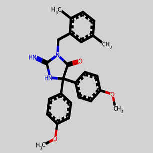 COc1ccc(C2(c3ccc(OC)cc3)NC(=N)N(Cc3cc(C)ccc3C)C2=O)cc1